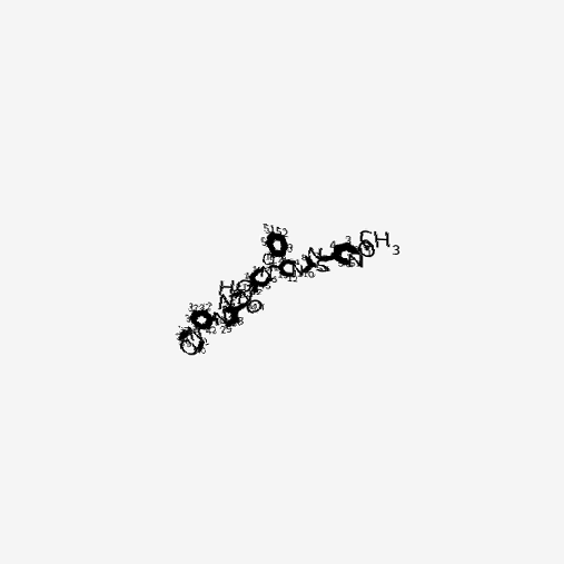 COc1ccc(-c2ncc(CN3CC[C@@H](C(=O)N4CCC(O)(Cn5cnc6c(ccn6-c6cccc(N7CCOCC7)c6)c5=O)CC4)[C@H](c4ccccc4)C3)s2)cn1